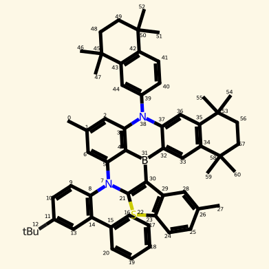 Cc1cc2c3c(c1)N(c1ccc(C(C)(C)C)cc1-c1ccccc1)c1sc4ccc(C)cc4c1B3c1cc3c(cc1N2c1ccc2c(c1)C(C)(C)CCC2(C)C)C(C)(C)CCC3(C)C